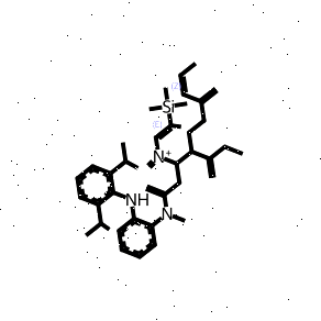 C=C(/C=C\C)CCC(C(=C)CC)C(CC(=C)N(C)c1ccccc1Nc1c(C(C)C)cccc1C(C)C)[N+](=C)/C=C(\C)[Si](C)(C)C